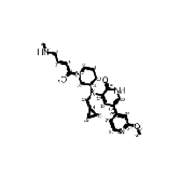 CNCC=CC(=O)N1CCC[C@@H](N(CC2CC2)c2cc(-c3ccnc(OC)c3)c[nH]c2=O)C1